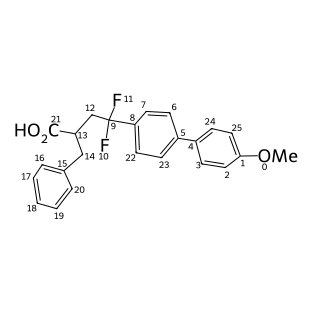 COc1ccc(-c2ccc(C(F)(F)CC(Cc3ccccc3)C(=O)O)cc2)cc1